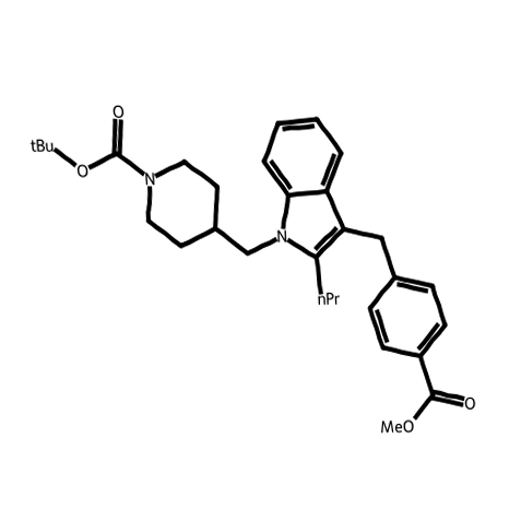 CCCc1c(Cc2ccc(C(=O)OC)cc2)c2ccccc2n1CC1CCN(C(=O)OC(C)(C)C)CC1